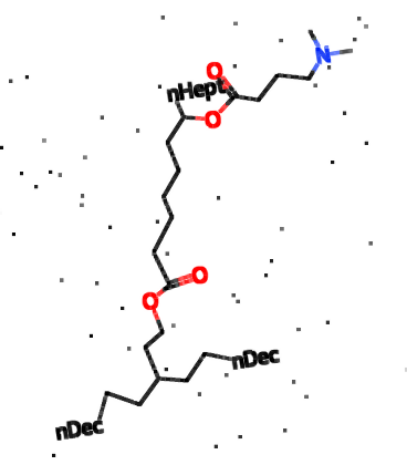 CCCCCCCCCCCCC(CCCCCCCCCCCC)CCOC(=O)CCCCCC(CCCCCCC)OC(=O)CCCN(C)C